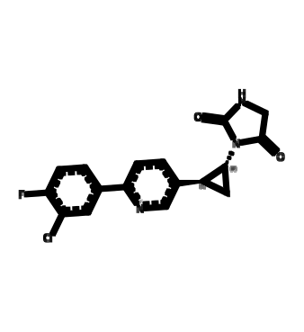 O=C1CNC(=O)N1[C@@H]1C[C@H]1c1ccc(-c2ccc(F)c(Cl)c2)nc1